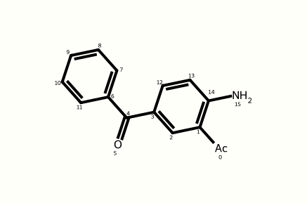 CC(=O)c1cc(C(=O)c2ccccc2)ccc1N